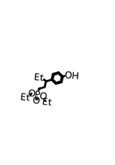 CCOP(=O)(CCC(CC)c1ccc(O)cc1)OCC